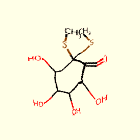 CSC1(SC)C(=O)C(O)C(O)C(O)C1O